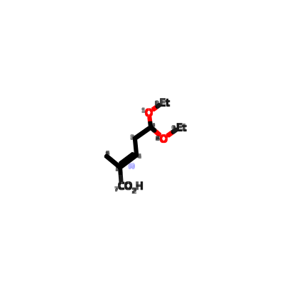 CCOC(C/C=C(\C)C(=O)O)OCC